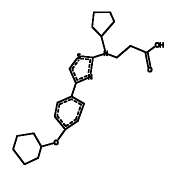 O=C(O)CCN(c1nc(-c2ccc(OC3CCCCC3)cc2)cs1)C1CCCC1